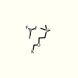 C[Si](C)(C)CCO[CH2][K].FB(F)F